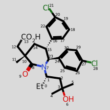 CC[C@@H](CC(C)(C)O)N1C(=O)[C@](C)(CC(=O)O)C[C@H](c2cccc(Cl)c2)[C@H]1c1ccc(Cl)cc1